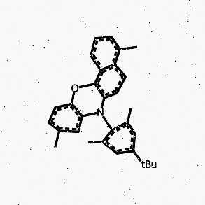 Cc1ccc2c(c1)N(c1c(C)cc(C(C)(C)C)cc1C)c1ccc3c(C)cccc3c1O2